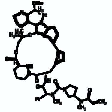 C=CC(=O)N(C)[C@@H]1CCN(C(=O)N(C)C(C(=O)N[C@H]2Cc3nc(cs3)-c3ccc4c(c3)c(c(-c3cccnc3[C@H](C)OC)n4CC)CC(C)(C)COC(=O)[C@@H]3CCCN(N3)C2=O)C(C)C)C1